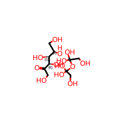 O=C(CO)[C@H](O)[C@@H](O)[C@H](O)CO.OCC(O)(O)OC(O)(O)CO